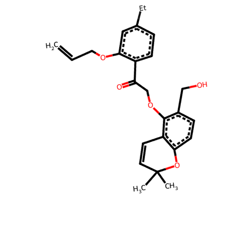 C=CCOc1cc(CC)ccc1C(=O)COc1c(CO)ccc2c1C=CC(C)(C)O2